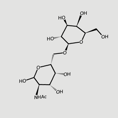 CC(=O)N[C@H]1C(O)O[C@H](CO[C@@H]2O[C@H](CO)[C@H](O)[C@H](O)[C@H]2O)[C@H](O)[C@@H]1O